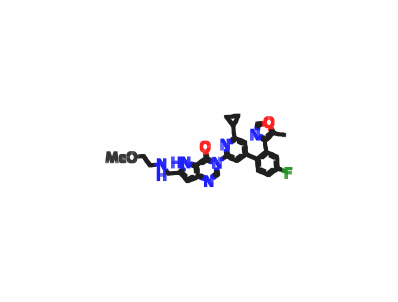 COCCNCc1cc2ncn(-c3cc(-c4ccc(F)cc4-c4ncoc4C)cc(C4CC4)n3)c(=O)c2[nH]1